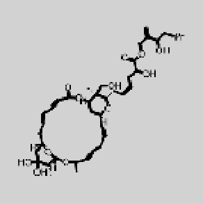 C=C(COC(=O)C(O)C/C=C\C[C@@H]1O[C@@H]2/C=C/C/C=C/C(C)C[C@H]3O[C@@H](C/C=C/C=C/C(=O)O[C@H](C2)[C@@]1(C)CO)CC(O)(O)[C@H]3C)C(O)CC(C)C